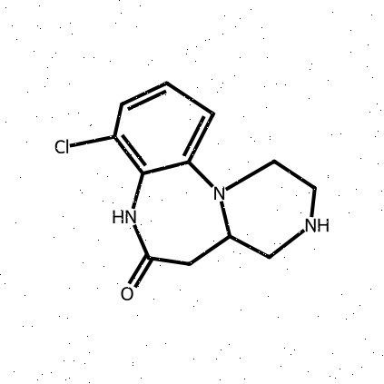 O=C1CC2CNCCN2c2cccc(Cl)c2N1